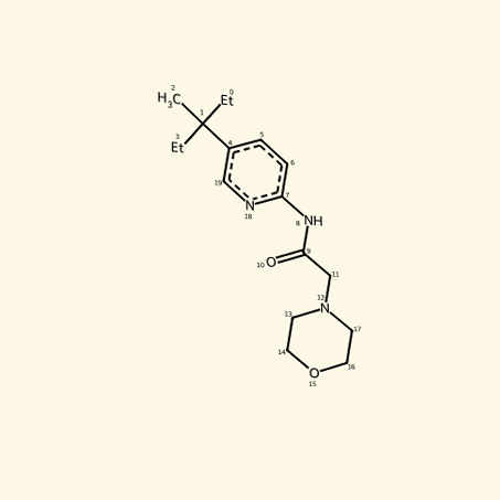 CCC(C)(CC)c1ccc(NC(=O)CN2CCOCC2)nc1